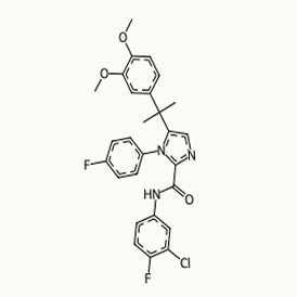 COc1ccc(C(C)(C)c2cnc(C(=O)Nc3ccc(F)c(Cl)c3)n2-c2ccc(F)cc2)cc1OC